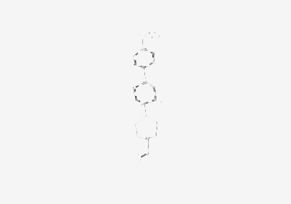 COc1ccc(-c2ccc(C3CCC(/C=C/F)CC3)cc2)cc1